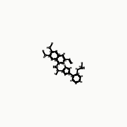 C=Cc1nc(N[C@H](C)c2cc(-c3ccccc3CNC)cs2)c2cc(OC)c(OC)cc2n1